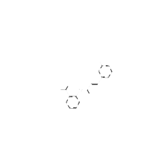 O=C(/C=C/c1cccc(F)c1)Nc1ccccc1C(=O)O